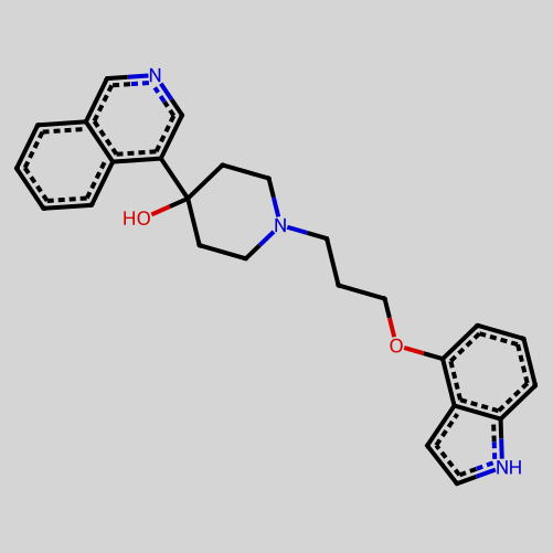 OC1(c2cncc3ccccc23)CCN(CCCOc2cccc3[nH]ccc23)CC1